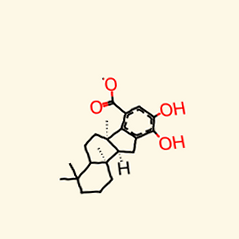 COC(=O)c1cc(O)c(O)c2c1[C@]1(C)CCC3C(C)(C)CCC[C@]3(C)[C@@H]1C2